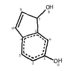 Oc1ccc2c(c1)C(O)C=C2